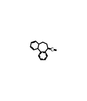 C=C=C1CCC2C=CC=CC2c2ccccc21